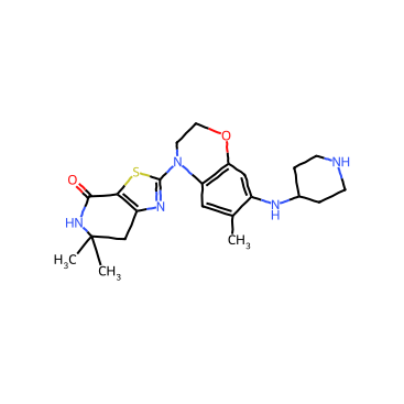 Cc1cc2c(cc1NC1CCNCC1)OCCN2c1nc2c(s1)C(=O)NC(C)(C)C2